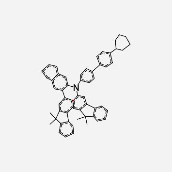 CC1(C)c2ccccc2-c2cc(N(c3ccc(-c4ccc(C5CCCCC5)cc4)cc3)c3cc4ccccc4cc3-c3ccc4c(c3)C(C)(C)c3ccccc3-4)ccc21